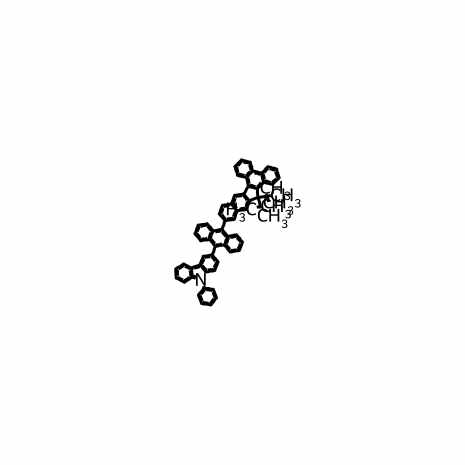 CC(C)(C)C1(C(C)(C)C)c2cc3cc(-c4c5ccccc5c(-c5ccc6c(c5)c5ccccc5n6-c5ccccc5)c5ccccc45)ccc3cc2-c2c1c1ccccc1c1ccccc21